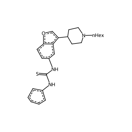 CCCCCCN1CCC(c2coc3ccc(NC(=S)Nc4ccccc4)cc23)CC1